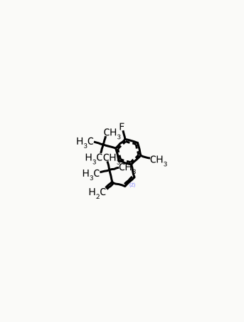 C=C(/C=C\c1cc(C(C)(C)C)c(F)cc1C)C(C)(C)C